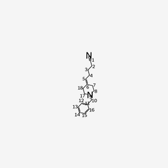 N#CCCCC=C1CCN(Cc2ccccc2)CC1